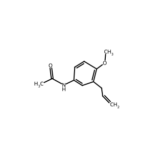 C=CCc1cc(NC(C)=O)ccc1OC